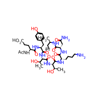 CC(=O)N[C@@H](CCC(=O)O)C(=O)N[C@@H](Cc1ccc(O)cc1)C(=O)N[C@H](C(=O)N[C@H](C(=O)N[C@@H](CCCCN)C(=O)N[C@@H](CC(N)=O)C(=O)N[C@@H](CC(C)C)C(=O)O)[C@@H](C)O)[C@@H](C)O